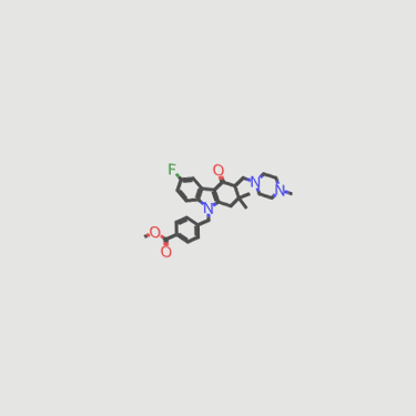 COC(=O)c1ccc(Cn2c3c(c4cc(F)ccc42)C(=O)C(CN2CCN(C)CC2)C(C)(C)C3)cc1